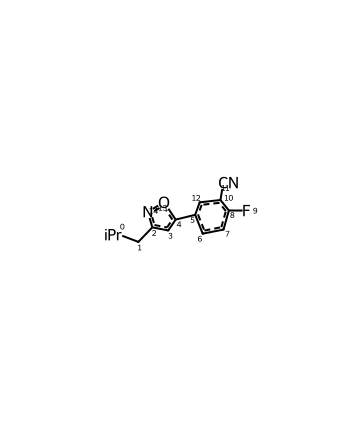 CC(C)Cc1cc(-c2ccc(F)c(C#N)c2)on1